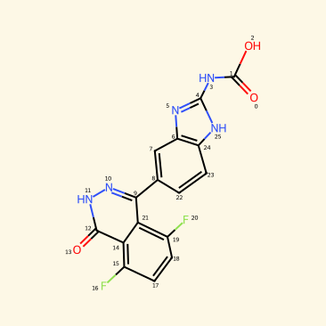 O=C(O)Nc1nc2cc(-c3n[nH]c(=O)c4c(F)ccc(F)c34)ccc2[nH]1